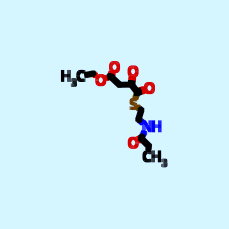 CCOC(=O)CC(=O)C(=O)SCCNC(=O)CC